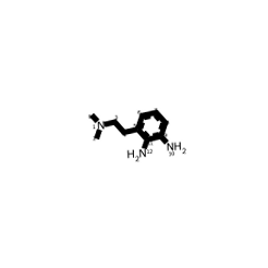 CN(C)CCc1cccc(N)c1N